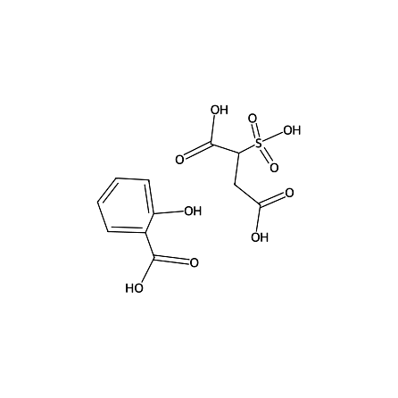 O=C(O)CC(C(=O)O)S(=O)(=O)O.O=C(O)c1ccccc1O